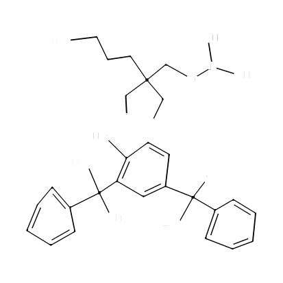 CC(C)(c1ccccc1)c1ccc(O)c(C(C)(C)c2ccccc2)c1.CCCCC(CC)(CO)COP(O)O